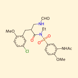 CCN(C(=O)C(CNC=O)Cc1cc(Cl)ccc1OC)S(=O)(=O)c1ccc(OC)c(NC(C)=O)c1